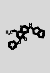 CCn1cc(Oc2cccnc2)c(=O)c2cc(NC3Cc4ccccc4C3)cnc21